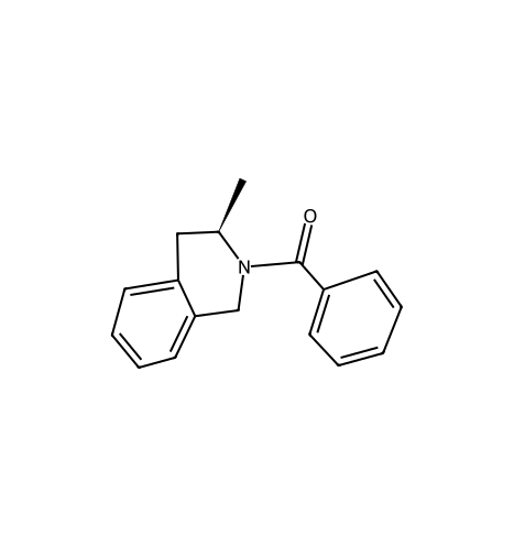 C[C@@H]1Cc2ccccc2CN1C(=O)c1ccccc1